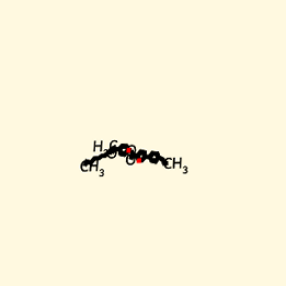 CCCCCCCCOC(C)c1ccc(OC(=O)c2ccc(-c3ccc(CCC)cc3)cc2)cc1